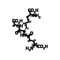 NC(CSSC[C@H](NC(=O)CC[C@H](N)C(=O)O)C(=O)NCC(=O)O)C(=O)O